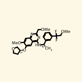 COCc1nc(N[C@H](C)c2cccc(C(F)(F)COC)c2)c2cc(O[C@H]3CCOC3)c(OC)cc2n1